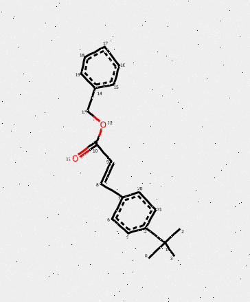 CC(C)(C)c1ccc(C=CC(=O)OCc2ccccc2)cc1